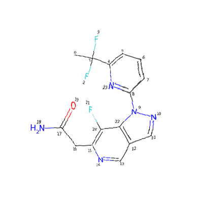 CC(F)(F)c1cccc(-n2ncc3cnc(CC(N)=O)c(F)c32)n1